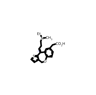 CCN(C)CC/C=C1\c2cc(CC(=O)O)ccc2OCc2ccsc21